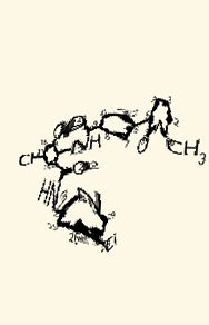 Cn1cccc(-c2ccc(C(=O)Nc3c(O)cc(Cl)cc3C(=O)Nc3ccc(Cl)cn3)cc2)c1=O